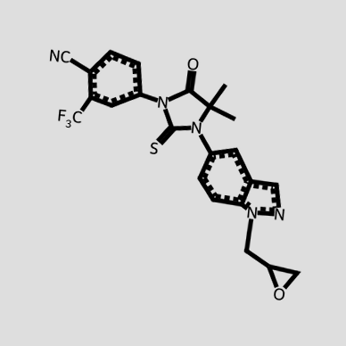 CC1(C)C(=O)N(c2ccc(C#N)c(C(F)(F)F)c2)C(=S)N1c1ccc2c(cnn2CC2CO2)c1